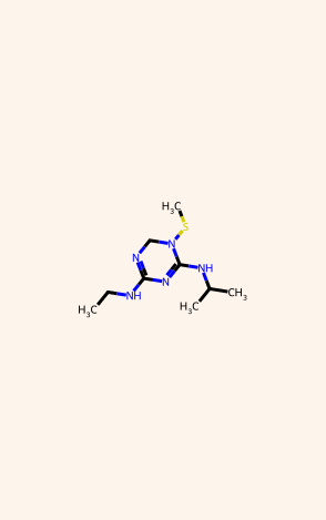 CCNC1=NCN(SC)C(NC(C)C)=N1